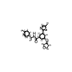 Cc1ccc(C(C)NC(=O)c2cc(O[C@@H]3CCOC3)cc(-c3ncc(C)s3)c2)nn1